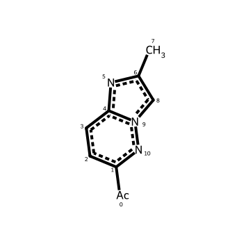 CC(=O)c1ccc2nc(C)cn2n1